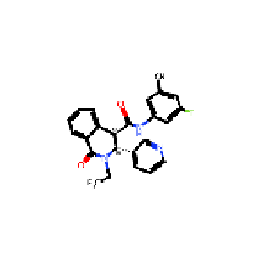 N#Cc1cc(F)cc(NC(=O)[C@@H]2c3ccccc3C(=O)N(CC(F)(F)F)[C@H]2c2cccnc2)c1